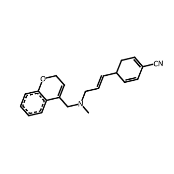 CN(C/C=C/C1C=CC(C#N)=CC1)CC1=CCOc2ccccc21